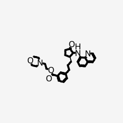 O=C(OCCN1CCOCC1)c1cccc(CCC[C@H]2CCC(=O)C2Nc2cccc3cccnc23)c1